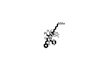 CNCCCCCCC1(C)OB(C(CC(C)C)NC(=O)C(Cc2ccccc2)NC(=O)c2cnccn2)OC1(C)C